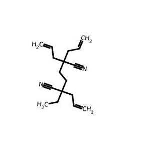 C=CCC(C#N)(CC)CCC(C#N)(CC=C)CC=C